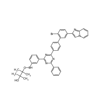 CC(C)(O)C(C)(C)OBc1cccc(-c2nc(-c3ccccc3)nc(-c3ccc(-c4cc(-c5cn6ccccc6n5)ccc4Br)cc3)n2)c1